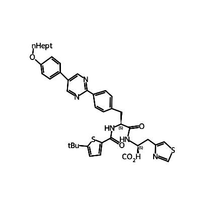 CCCCCCCOc1ccc(-c2cnc(-c3ccc(C[C@H](NC(=O)c4ccc(C(C)(C)C)s4)C(=O)N[C@@H](Cc4cscn4)C(=O)O)cc3)nc2)cc1